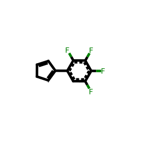 Fc1cc(C2=[C]CC=C2)c(F)c(F)c1F